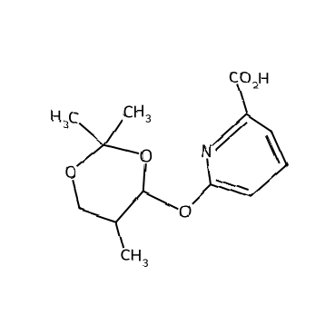 CC1COC(C)(C)OC1Oc1cccc(C(=O)O)n1